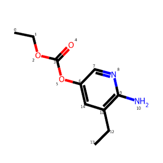 CCOC(=O)Oc1cnc(N)c(CC)c1